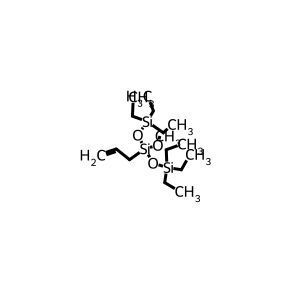 C=CC[Si](OC)(O[Si](CC)(CC)CC)O[Si](CC)(CC)CC